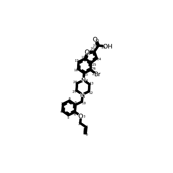 C=CCOc1ccccc1CN1CCN(c2ccc3oc(C(=O)O)cc3c2Br)CC1